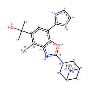 CC(C)(O)c1cc(-c2nccs2)c2oc(N3CC4CC(C3)N4C(=O)O)nc2c1C(F)(F)F